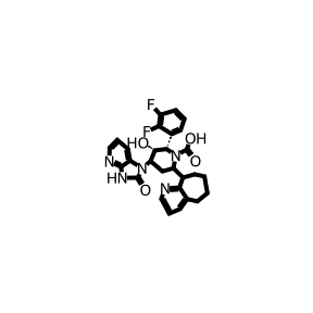 O=C(O)N1C(C2CCCCc3cccnc32)CC(n2c(=O)[nH]c3ncccc32)[C@H](O)[C@@H]1c1cccc(F)c1F